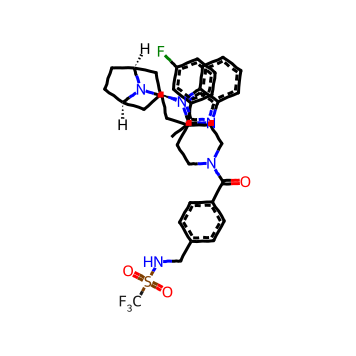 Cc1nc2ccccc2n1[C@H]1C[C@H]2CC[C@@H](C1)N2CCC1(c2cccc(F)c2)CCN(C(=O)c2ccc(CNS(=O)(=O)C(F)(F)F)cc2)CC1